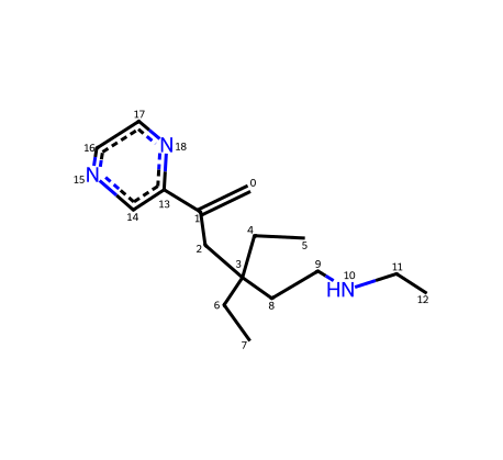 C=C(CC(CC)(CC)CCNCC)c1cnccn1